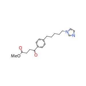 COC(=O)CCC(=O)c1ccc(CCCCCn2ccnc2)cc1